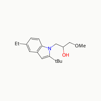 CCc1ccc2c(c1)cc(C(C)(C)C)n2CC(O)COC